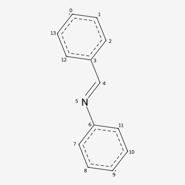 [c]1ccc(C=Nc2cc[c]cc2)cc1